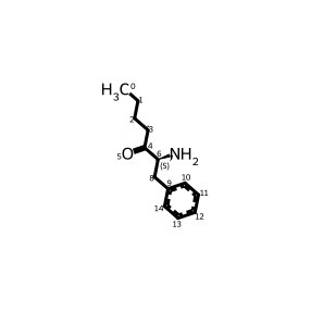 CCC[CH]C(=O)[C@@H](N)Cc1ccccc1